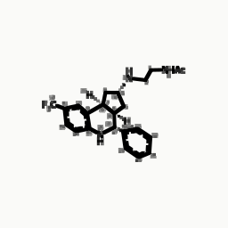 CC(=O)NCCN[C@@H]1C[C@@H]2[C@H](C1)c1cc(C(F)(F)F)ccc1N[C@H]2c1ccccc1